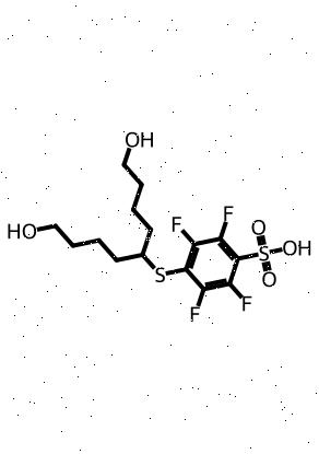 O=S(=O)(O)c1c(F)c(F)c(SC(CCCCO)CCCCO)c(F)c1F